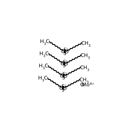 CCCCCCCCCCCCOP(=S)([S-])OCCCCCCCCCCCC.CCCCCCCCCCCCOP(=S)([S-])OCCCCCCCCCCCC.CCCCCCCCCCCCOP(=S)([S-])OCCCCCCCCCCCC.CCCCCCCCCCCCOP(=S)([S-])OCCCCCCCCCCCC.[O]=[Mo+4]